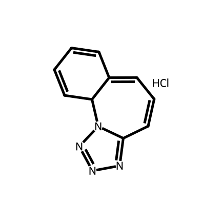 C1=CC2=CC=Cc3nnnn3C2C=C1.Cl